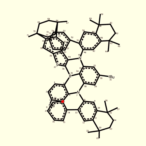 CC(C)(C)c1ccc2c(c1)N(c1cc3c(cc1-c1ccccc1)C(C)(C)CCC3(C)C)c1cc(C(C)(C)C)cc3c1B2c1sc2cc4c(cc2c1N3c1cc2c(cc1-c1ccccc1)C(C)(C)CCC2(C)C)C1(C)CCC4(C)CC1